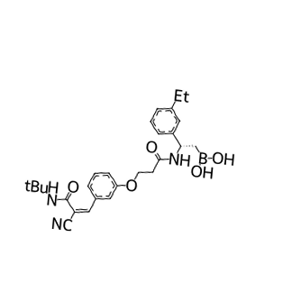 CCc1cccc([C@H](CB(O)O)NC(=O)CCOc2cccc(C=C(C#N)C(=O)NC(C)(C)C)c2)c1